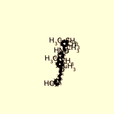 CC1=CC(C)(C)C(C)C(C(=O)N[C@@H]2CCN(C(C)c3ccc(OCCCCN4CC[C@H](O)C4)c(C)c3C)C2)=C1